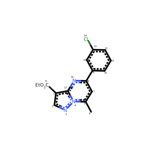 CCOC(=O)c1cnn2c(C)cc(-c3cccc(Cl)c3)nc12